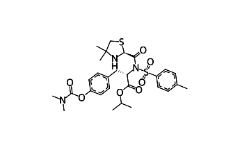 Cc1ccc(S(=O)(=O)N(C(=O)[C@H]2NC(C)(C)CS2)[C@@H](Cc2ccc(OC(=O)N(C)C)cc2)C(=O)OC(C)C)cc1